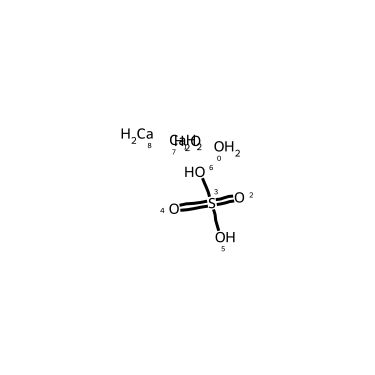 O.O.O=S(=O)(O)O.[CaH2].[CaH2]